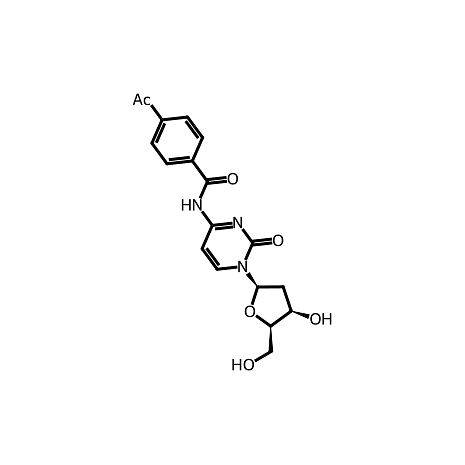 CC(=O)c1ccc(C(=O)Nc2ccn([C@H]3C[C@@H](O)[C@@H](CO)O3)c(=O)n2)cc1